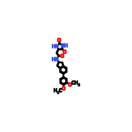 COc1ccc(-c2ccc3c(c2)CC(NC(=O)CC2NC(=O)NC2=O)C3)cc1OC